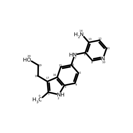 Cc1[nH]c2ccc(Nc3cnccc3N)cc2c1CCO